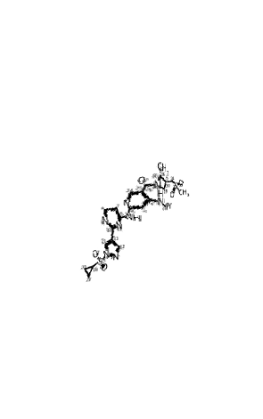 CC(C)Nc1cc(Nc2ccnc(-c3cnn(S(=O)(=O)C4CC4)c3)n2)ncc1C(=O)N1C[C@H](CS(C)(=O)=O)[C@H]1C